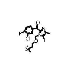 Cc1nc(C(=O)c2ccc(F)c(Cl)c2)n(COCC[Si](C)(C)C)c1I